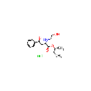 CCC(C)OC(=O)C(CC(=O)c1ccccc1)NCCO.Cl